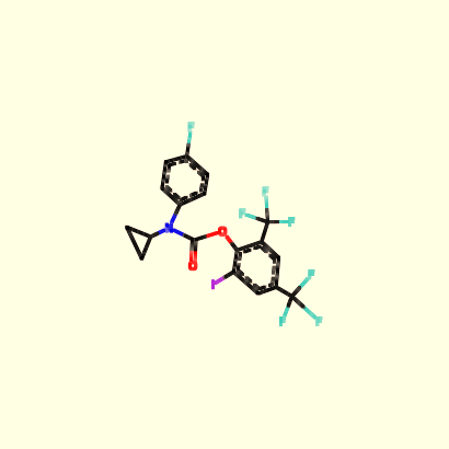 O=C(Oc1c(I)cc(C(F)(F)F)cc1C(F)(F)F)N(c1ccc(F)cc1)C1CC1